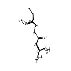 CCC(=O)CCC(=O)CC(S)S